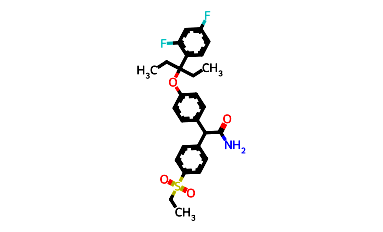 CCC(CC)(Oc1ccc(C(C(N)=O)c2ccc(S(=O)(=O)CC)cc2)cc1)c1ccc(F)cc1F